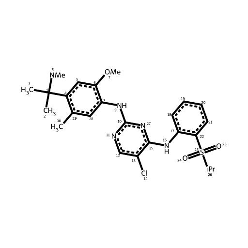 CNC(C)(C)c1cc(OC)c(Nc2ncc(Cl)c(Nc3ccccc3S(=O)(=O)C(C)C)n2)cc1C